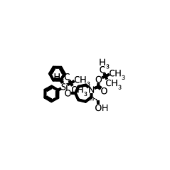 CC(C)(C)OC(=O)N1CCC(O[Si](c2ccccc2)(c2ccccc2)C(C)(C)C)CC[C@H]1CO